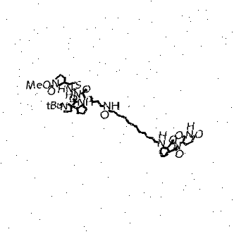 COC(=O)N1CCCC(C2CSC(NC(=O)[C@H](CCCCNC(=O)CCCCCCCCCCNc3cccc4c3C(=O)N(C3CCC(=O)NC3=O)C4=O)NC(=O)C3(C4CCCC4)CCN(C(C)(C)C)C3)N2)C1